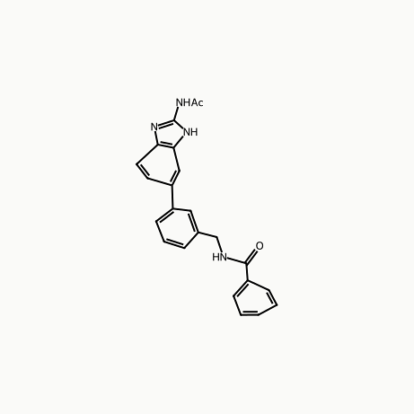 CC(=O)Nc1nc2ccc(-c3cccc(CNC(=O)c4ccccc4)c3)cc2[nH]1